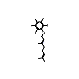 CC(C)=CCC/C(C)=C/COc1c(I)c(C)c(I)c(C)c1I